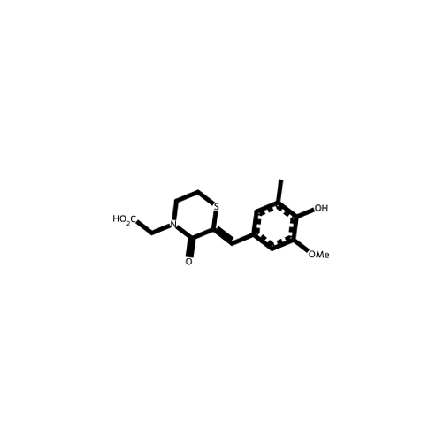 COc1cc(C=C2SCCN(CC(=O)O)C2=O)cc(C)c1O